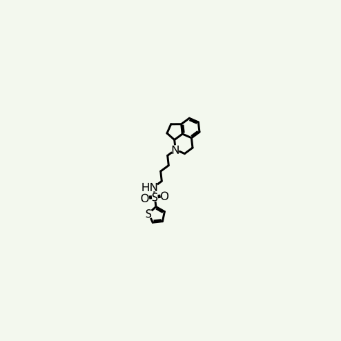 O=S(=O)(NCCCCN1CCc2cccc3c2C1CC3)c1cccs1